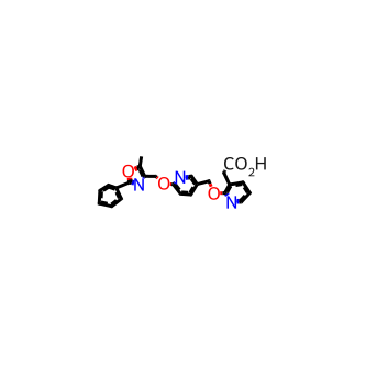 Cc1oc(-c2ccccc2)nc1COc1ccc(COc2ncccc2CC(=O)O)cn1